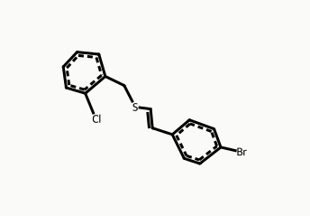 Clc1ccccc1CSC=Cc1ccc(Br)cc1